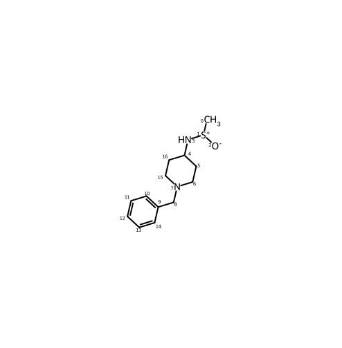 C[S+]([O-])NC1CCN(Cc2ccccc2)CC1